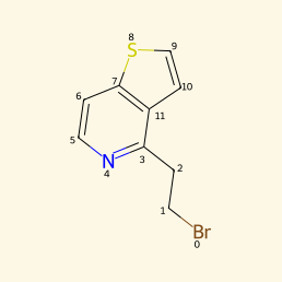 BrCCc1nccc2sccc12